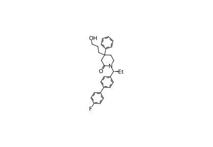 CC[C@@H](c1ccc(-c2ccc(F)cc2)cc1)N1CCC(CCCO)(c2ccccc2)CC1=O